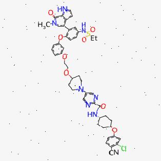 CCS(=O)(=O)Nc1ccc(Oc2cccc(OCCOC3CCN(c4cnc(C(=O)N[C@H]5CC[C@H](Oc6ccc(C#N)c(Cl)c6)CC5)nc4)CC3)c2)c(-c2cn(C)c(=O)c3[nH]ccc23)c1